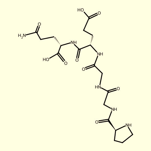 NC(=O)CC[C@H](NC(=O)[C@H](CCC(=O)O)NC(=O)CNC(=O)CNC(=O)[C@@H]1CCCN1)C(=O)O